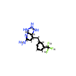 Nc1cc(Cc2cccc(C(F)(F)F)c2)c2c(n1)NNN2